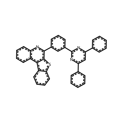 c1ccc(-c2cc(-c3ccccc3)nc(-c3cccc(-c4nc5ccccc5c5c4sc4ccccc45)c3)n2)cc1